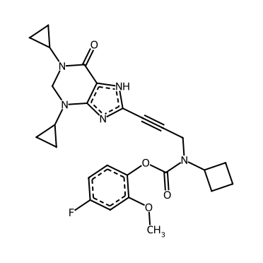 COc1cc(F)ccc1OC(=O)N(CC#Cc1nc2c([nH]1)C(=O)N(C1CC1)CN2C1CC1)C1CCC1